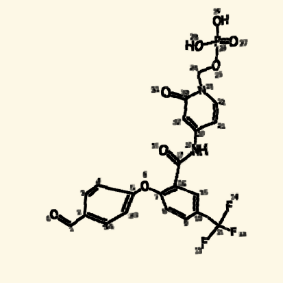 O=Cc1ccc(Oc2ccc(C(F)(F)F)cc2C(=O)Nc2ccn(COP(=O)(O)O)c(=O)c2)cc1